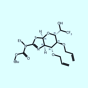 C=CCO[C@@H]1[C@H]2N=C(N(CC)C(=O)OC(C)(C)C)S[C@H]2O[C@H](C(O)C(F)(F)F)[C@H]1OCC=C